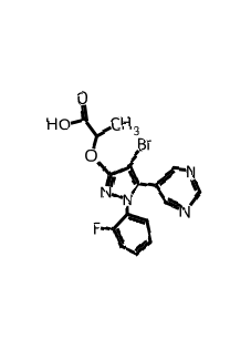 CC(Oc1nn(-c2ccccc2F)c(-c2cncnc2)c1Br)C(=O)O